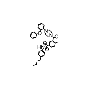 CCCCc1ccc(NS(=O)(=O)c2ccc(C)c(C(=O)N3CCN(c4ccccc4Oc4ccccc4)CC3)c2)cc1